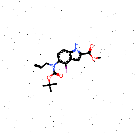 C=CCN(C(=O)OC(C)(C)C)c1ccc2[nH]c(C(=O)OC)cc2c1I